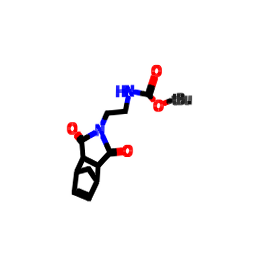 CC(C)(C)OC(=O)NCCN1C(=O)C2C3C=CC(C3)C2C1=O